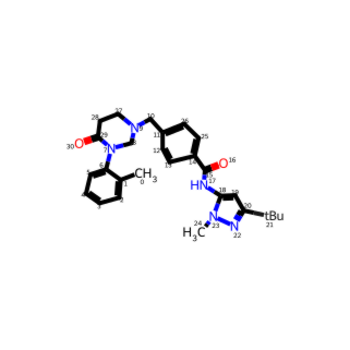 Cc1ccccc1N1CN(Cc2ccc(C(=O)Nc3cc(C(C)(C)C)nn3C)cc2)CCC1=O